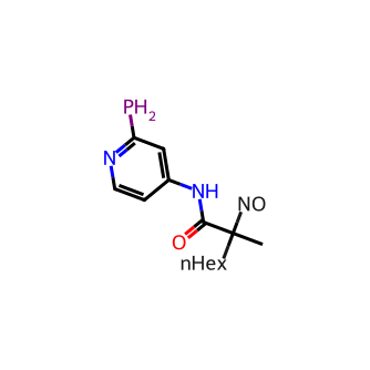 CCCCCCC(C)(N=O)C(=O)Nc1ccnc(P)c1